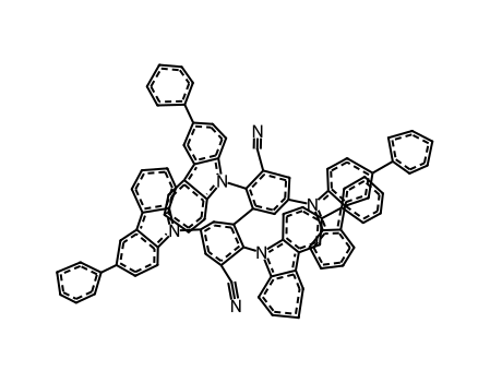 N#Cc1cc(-n2c3ccccc3c3cc(-c4ccccc4)ccc32)cc(-c2cc(-n3c4ccccc4c4cc(-c5ccccc5)ccc43)cc(C#N)c2-n2c3ccccc3c3cc(-c4ccccc4)ccc32)c1-n1c2ccccc2c2cc(-c3ccccc3)ccc21